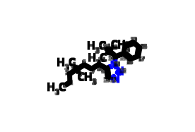 CCCC(C)(C)CCCc1cnnn1C(c1ccccc1)C(C)(C)C